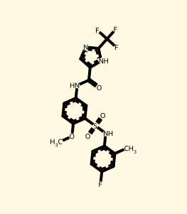 COc1ccc(NC(=O)c2cnc(C(F)(F)F)[nH]2)cc1S(=O)(=O)Nc1ccc(F)cc1C